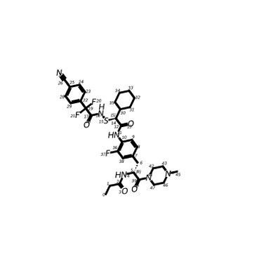 CCC(=O)N[C@H](Cc1ccc(NC(=O)[C@@H](SNC(=O)C(F)(F)c2ccc(C#N)cc2)C2CCCCC2)c(F)c1)C(=O)N1CCN(C)CC1